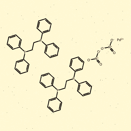 O=[N+]([O-])[O-].O=[N+]([O-])[O-].[Pd+2].c1ccc(P(CCP(c2ccccc2)c2ccccc2)c2ccccc2)cc1.c1ccc(P(CCP(c2ccccc2)c2ccccc2)c2ccccc2)cc1